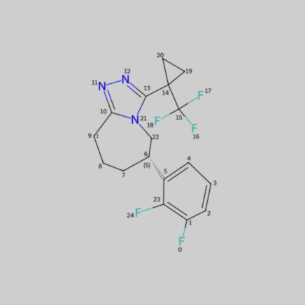 Fc1cccc([C@@H]2CC[C]c3nnc(C4(C(F)(F)F)CC4)n3C2)c1F